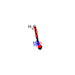 CCOCCOCCOCCCCCNC(=O)NC1CC2CC3CC(C2)C1C3